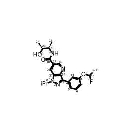 CC(C)n1nc(-c2cccc(OC(F)F)c2)c2ncc(C(=O)N[C@H](C)[C@H](C)O)cc21